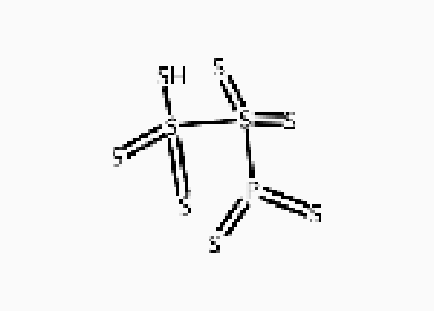 S=P(=S)S(=S)(=S)S(=S)(=S)S